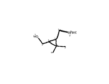 CCCCCCC1C(CO)C1(C)C